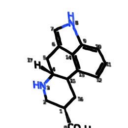 O=C(O)[C@H]1CN[C@@H]2Cc3c[nH]c4cccc(c34)C2C1